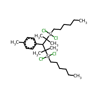 CCCCCC[Si](Cl)(Cl)C(C)(C)C(c1ccc(C)cc1)C(C)(C)[Si](Cl)(Cl)CCCCCC